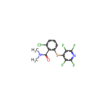 CN(C)C(=O)c1c(Cl)cccc1Sc1c(F)c(F)nc(F)c1F